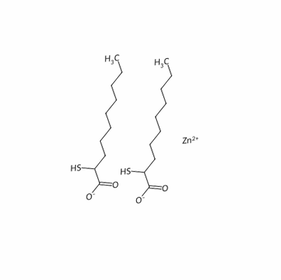 CCCCCCCCC(S)C(=O)[O-].CCCCCCCCC(S)C(=O)[O-].[Zn+2]